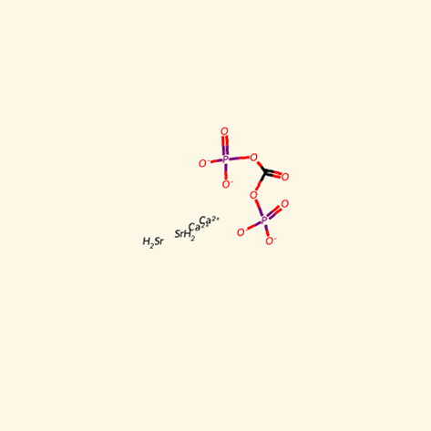 O=C(OP(=O)([O-])[O-])OP(=O)([O-])[O-].[Ca+2].[Ca+2].[SrH2].[SrH2]